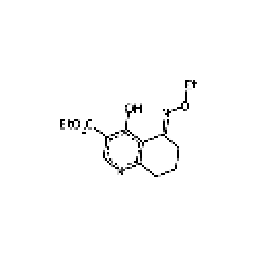 CCON=C1CCCc2ncc(C(=O)OCC)c(O)c21